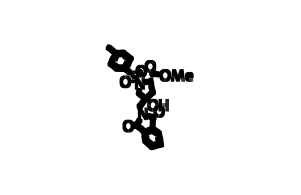 COC(=O)[C@@H]1C[C@@](O)(CN2C(=O)c3ccccc3C2=O)CN1S(=O)(=O)c1ccc(C)cc1